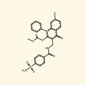 COC(=O)Oc1c(CNC(=O)c2ccc(S(N)(=O)=O)cc2)c(=O)c2ccc(Cl)cc2n1-c1ccccc1